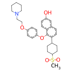 CS(=O)(=O)C1CCC(c2ccc3cc(O)ccc3c2Oc2ccc(OCCN3CCCCC3)cc2)CC1